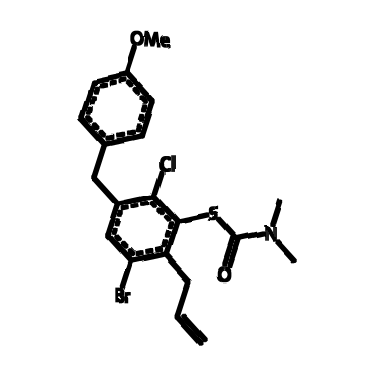 C=CCc1c(Br)cc(Cc2ccc(OC)cc2)c(Cl)c1SC(=O)N(C)C